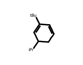 CC(C)C1C=C(C(C)(C)C)C=CC1